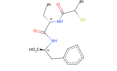 CC(C)C[C@H](NC(=O)C(S)C(C)C)C(=O)N[C@@H](Cc1ccccc1)C(=O)O